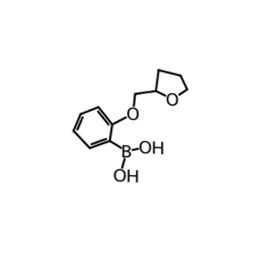 OB(O)c1ccccc1OCC1CCCO1